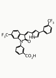 O=C(O)c1cccc(N2C(=O)/C(=C\c3cc(-c4cccc(C(F)(F)F)c4)c[nH]3)c3ccc(C(F)(F)F)cc32)c1